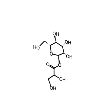 O=C(O[C@H]1O[C@H](CO)[C@@H](O)[C@H](O)[C@@H]1O)C(O)CO